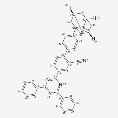 N#Cc1cc(-c2nc(-c3ccccc3)nc(-c3ccccc3)n2)ccc1-c1ccc(C23C[C@H]4C[C@@H](C2)C[C@@H](C3)C4)cc1